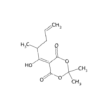 C=CCC(C)C(O)=C1C(=O)OC(C)(C)OC1=O